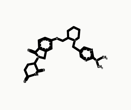 CN(C)c1ncc(CN2CCCCC2COc2ccc3c(c2)CN(C2CCC(=O)NC2=O)C3=O)cn1